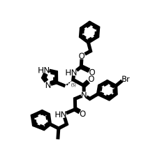 CC(CNC(=O)CN(Cc1ccc(Br)cc1)C(=O)[C@H](Cc1c[nH]cn1)NC(=O)OCc1ccccc1)c1ccccc1